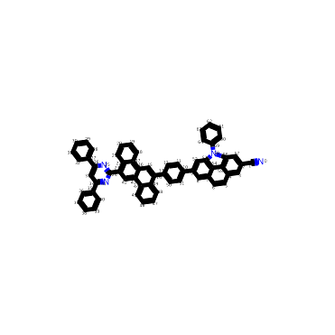 N#Cc1cc2ccc3cc(-c4ccc(-c5cc6c7ccccc7c(-c7nc(-c8ccccc8)cc(-c8ccccc8)n7)cc6c6ccccc56)cc4)cc4c3c2c(c1)n4-c1ccccc1